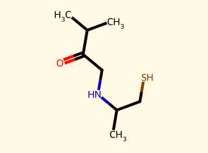 CC(CS)NCC(=O)C(C)C